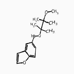 COC(C)(C)C(C)(C)OBc1ccc2occc2c1